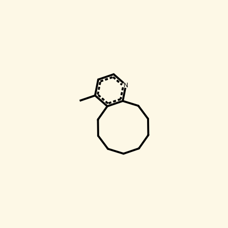 Cc1ccnc2c1CCCCCCCC2